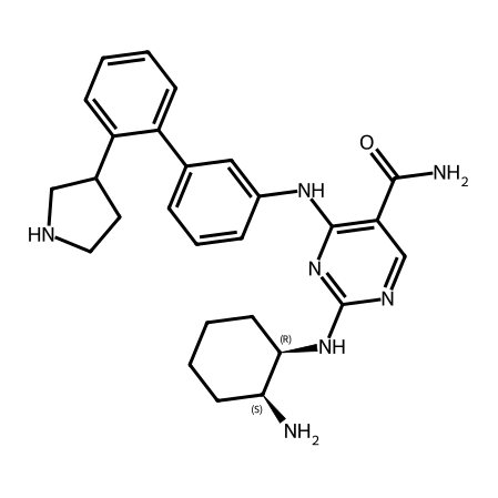 NC(=O)c1cnc(N[C@@H]2CCCC[C@@H]2N)nc1Nc1cccc(-c2ccccc2C2CCNC2)c1